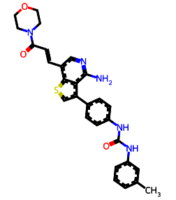 Cc1cccc(NC(=O)Nc2ccc(-c3csc4c(C=CC(=O)N5CCOCC5)cnc(N)c34)cc2)c1